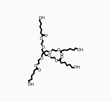 O=C(CCCCCO)OCCOCC(COCCOC(=O)CCCCCO)(COCCOC(=O)CCCCCO)COCCOC(=O)CCCCCO